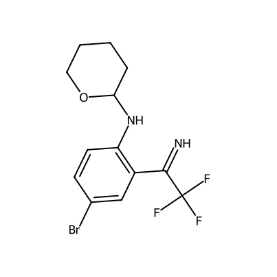 N=C(c1cc(Br)ccc1NC1CCCCO1)C(F)(F)F